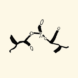 C=C(C)C(=O)O[PH](=O)OC(=O)C(=C)C